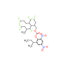 CCC(C)c1cc([N+](=O)[O-])cc([N+](=O)[O-])c1OC(=O)OCC(CCF)C(C(F)C(C)CC(F)F)C(CCC(F)F)C(F)F